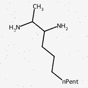 CCCCCCCCC(N)C(C)N